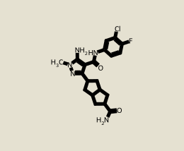 Cn1nc(C2CC3CC(C(N)=O)CC3C2)c(C(=O)Nc2ccc(F)c(Cl)c2)c1N